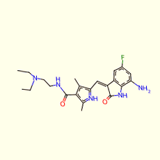 CCN(CC)CCNC(=O)c1c(C)[nH]c(/C=C2\C(=O)Nc3c(N)cc(F)cc32)c1C